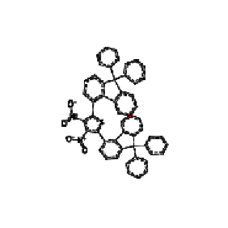 O=[N+]([O-])c1c(-c2cccc3c2-c2ccccc2C3(c2ccccc2)c2ccccc2)sc(-c2cccc3c2-c2ccccc2C3(c2ccccc2)c2ccccc2)c1[N+](=O)[O-]